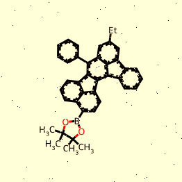 CCc1cc2c(-c3ccccc3)c3c4cccc5c(B6OC(C)(C)C(C)(C)O6)ccc(c54)c3c3c4ccccc4c(c1)c23